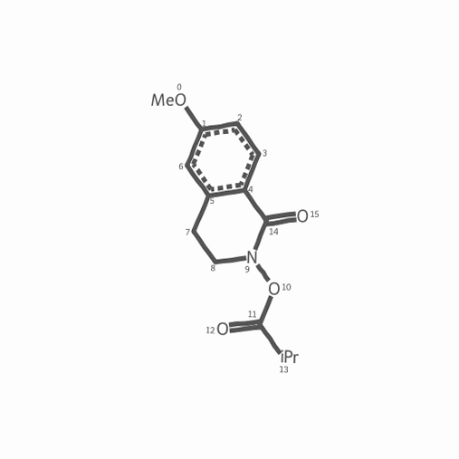 COc1ccc2c(c1)CCN(OC(=O)C(C)C)C2=O